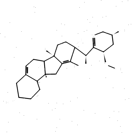 CO[C@@H]1C[C@H](C)CN=C1[C@@H](C)[C@]1(C)CC[C@@H]2C(=C1C)C[C@H]1[C@H]2CC=C2C[C@@H](O)CC[C@@]21C